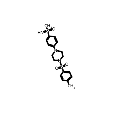 Cc1ccc(S(=O)(=O)N2CCN(c3ccc(S(C)(=N)=O)cc3)CC2)cc1